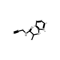 C#CCNC(=O)C(C)Sc1ccccn1